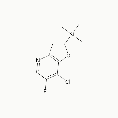 C[Si](C)(C)c1cc2ncc(F)c(Cl)c2o1